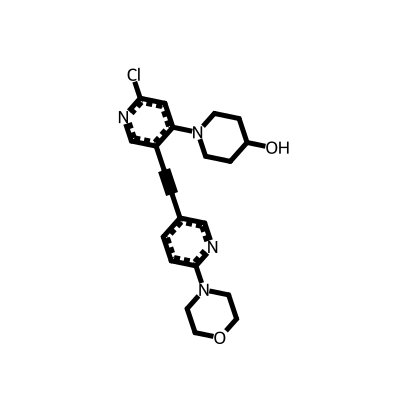 OC1CCN(c2cc(Cl)ncc2C#Cc2ccc(N3CCOCC3)nc2)CC1